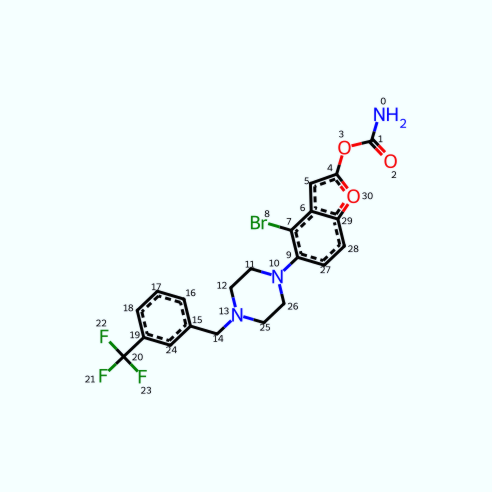 NC(=O)Oc1cc2c(Br)c(N3CCN(Cc4cccc(C(F)(F)F)c4)CC3)ccc2o1